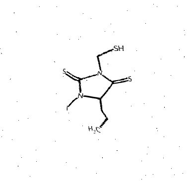 CCC1C(=S)N(CS)C(=S)N1I